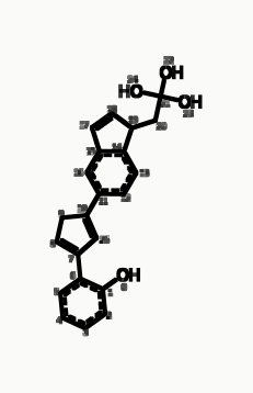 Oc1ccccc1C1=CCC(c2ccc3c(c2)C=CC3CC(O)(O)O)=C1